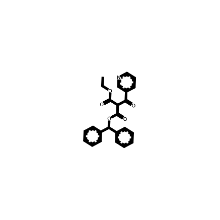 CCOC(=O)C(C(=O)OC(c1ccccc1)c1ccccc1)C(=O)c1cccnc1